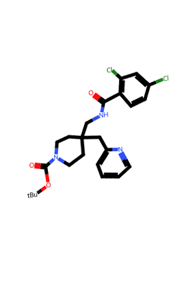 CC(C)(C)OC(=O)N1CCC(CNC(=O)c2ccc(Cl)cc2Cl)(Cc2ccccn2)CC1